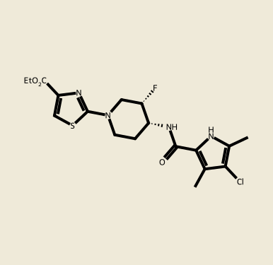 CCOC(=O)c1csc(N2CC[C@@H](NC(=O)c3[nH]c(C)c(Cl)c3C)[C@@H](F)C2)n1